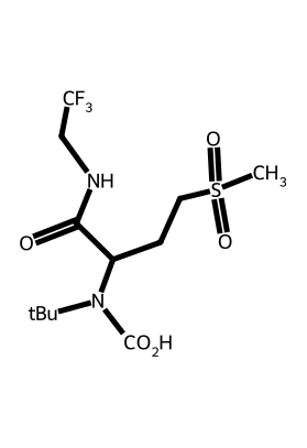 CC(C)(C)N(C(=O)O)C(CCS(C)(=O)=O)C(=O)NCC(F)(F)F